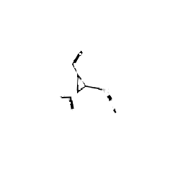 C=CC1CC1N=C=O.O=CO